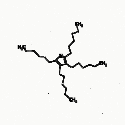 CCCCCCC1=C(CCCCCC)C(CCCCCC)=C(CCCCCC)[N]1